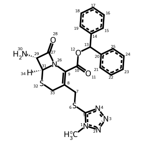 Cn1nnnc1SCC1=C(C(=O)OC(c2ccccc2)c2ccccc2)N2C(=O)[C@@H](N)[C@@H]2SC1